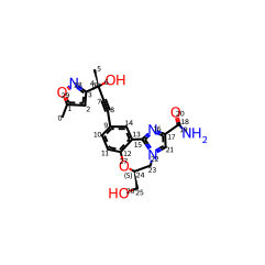 Cc1cc([C@](C)(O)C#Cc2ccc3c(c2)-c2nc(C(N)=O)cn2C[C@@H](CO)O3)no1